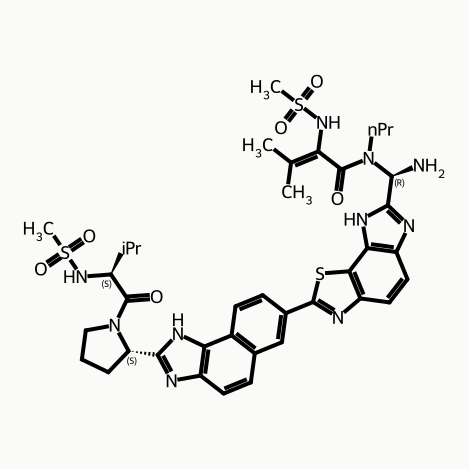 CCCN(C(=O)C(NS(C)(=O)=O)=C(C)C)[C@@H](N)c1nc2ccc3nc(-c4ccc5c(ccc6nc([C@@H]7CCCN7C(=O)[C@@H](NS(C)(=O)=O)C(C)C)[nH]c65)c4)sc3c2[nH]1